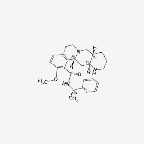 COc1ccc2c(c1C(=O)N[C@H](C)c1ccccc1)[C@H]1C[C@H]3NCCC[C@H]3CN1CC2